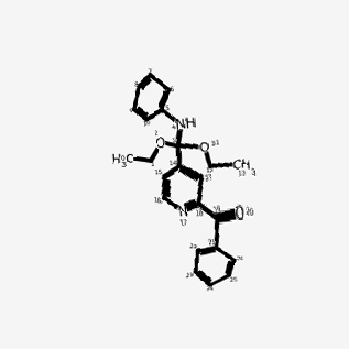 CCOC(Nc1ccccc1)(OCC)c1ccnc(C(=O)c2ccccc2)c1